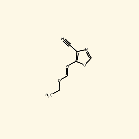 CCOC=Nc1ocnc1C#N